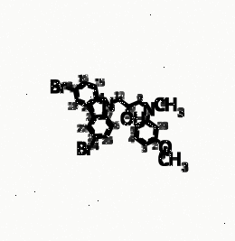 COc1cccc(N(C)CC(O)Cn2c3ccc(Br)cc3c3cc(Br)ccc32)c1